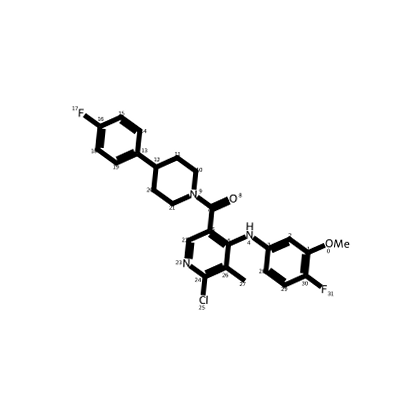 COc1cc(Nc2c(C(=O)N3CCC(c4ccc(F)cc4)CC3)cnc(Cl)c2C)ccc1F